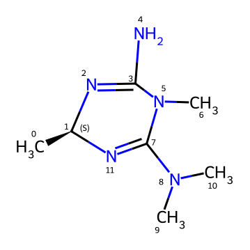 C[C@H]1N=C(N)N(C)C(N(C)C)=N1